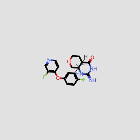 N=C1NC(=O)[C@@H]2CCOC[C@]2(c2cc(Oc3ccncc3F)ccc2F)N1